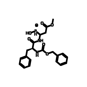 COC(=O)CC(NC(=O)[C@H](Cc1ccccc1)NC(=O)OCc1ccccc1)[PH](=O)O